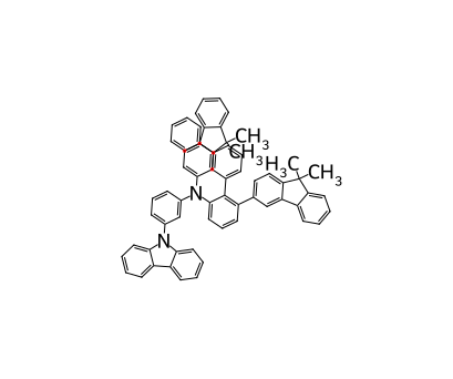 CC1(C)c2ccccc2-c2cc(-c3cccc(N(c4cccc(-n5c6ccccc6c6ccccc65)c4)c4ccc5c(c4)C(C)(C)c4ccccc4-5)c3-c3cccc(-c4ccccc4)c3)ccc21